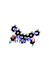 Fc1coc(Nc2cc(N3CCCCC3)ccc2C2=CC3=CC(c4ccc(N5CCCCC5)cc4Nc4cc(F)co4)=NC4=NC=NC(=N2)C34)c1